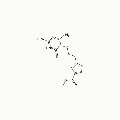 COC(=O)c1ccc(CCSc2c(N)nc(N)[nH]c2=O)s1